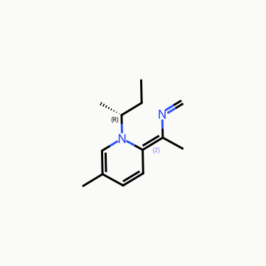 C=N/C(C)=C1/C=CC(C)=CN1[C@H](C)CC